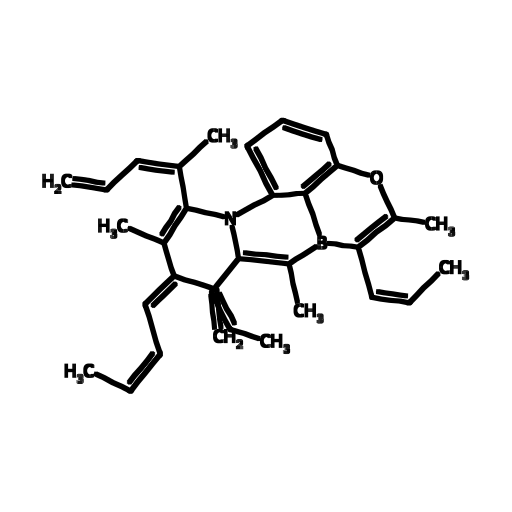 C=C\C=C(C)/C(=C(C)/C(C=C)=C/C=C\C)N1C(/C=C\C)=C(C)B2C(/C=C\C)=C(C)Oc3cccc1c32